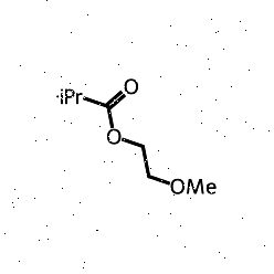 COCCOC(=O)[C](C)C